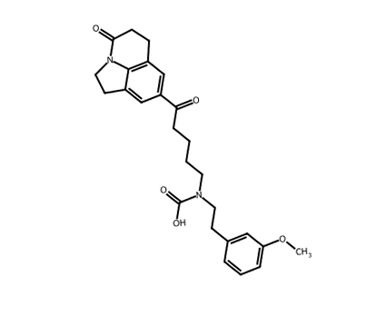 COc1cccc(CCN(CCCCC(=O)c2cc3c4c(c2)CCN4C(=O)CC3)C(=O)O)c1